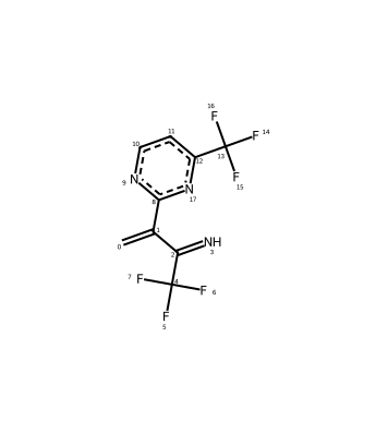 C=C(C(=N)C(F)(F)F)c1nccc(C(F)(F)F)n1